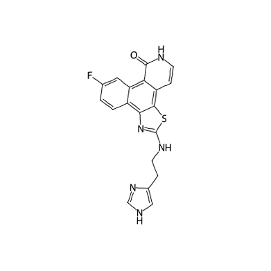 O=c1[nH]ccc2c3sc(NCCc4c[nH]cn4)nc3c3ccc(F)cc3c12